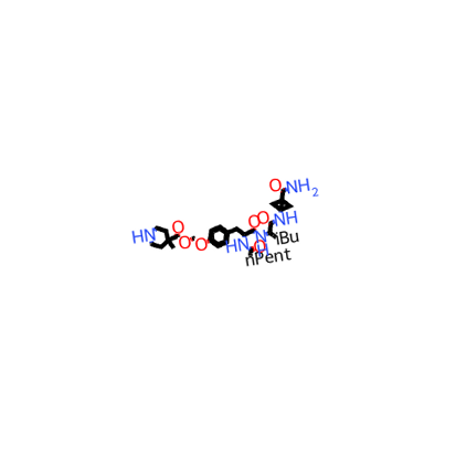 CCCCCC(=O)NC(Cc1ccc(OCOC(=O)C2(C)CCNCC2)cc1)C(=O)NC(C(=O)NC12CC1(C(N)=O)C2)C(C)CC